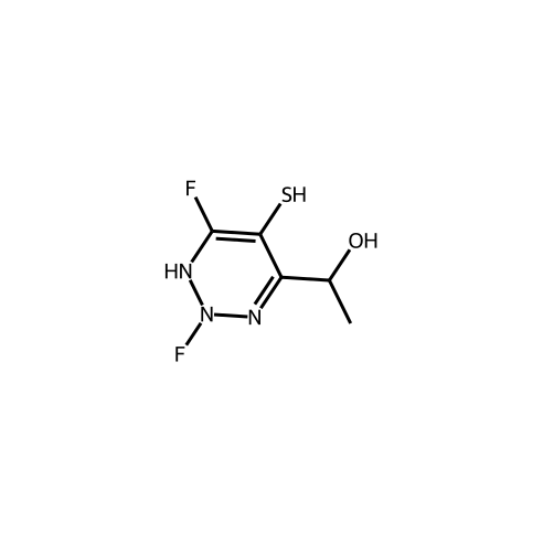 CC(O)C1=NN(F)NC(F)=C1S